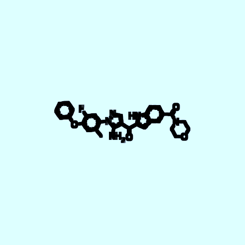 Cc1cc(Oc2ccccc2)c(F)cc1-n1ncc(C(=O)c2cc3cc(C(=O)N4CCOCC4)ccc3[nH]2)c1N